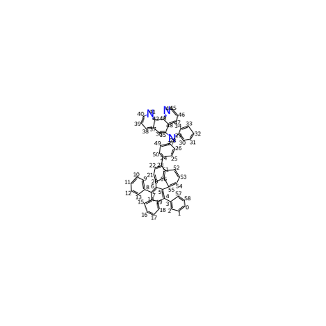 c1ccc(-c2c3c(c(-c4ccccc4)c4ccccc24)-c2ccc(-c4ccc(N(c5ccccc5)c5cc6cccnc6c6ncccc56)cc4)c4cccc-3c24)cc1